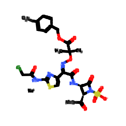 COC(=O)[C@@H]1[C@H](NC(=O)C(=NOC(C)(C)C(=O)OCc2ccc([N+](=O)[O-])cc2)c2csc(NC(=O)CCl)n2)C(=O)N1S(=O)(=O)[O-].[Na+]